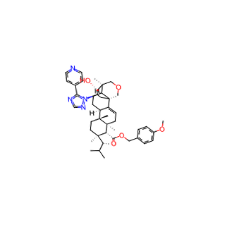 COc1ccc(COC(=O)[C@@H]2[C@@](C)([C@H](C)C(C)C)CC[C@]3(C)[C@H]4CC[C@@H]5[C@@]6(COC[C@]5(C)[C@@H](O)[C@H](n5ncnc5-c5ccncc5)C6)C4=CC[C@@]23C)cc1